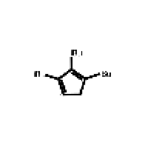 CCC(C)C1=[C]CC(C(C)CC)=C1C(C)CC